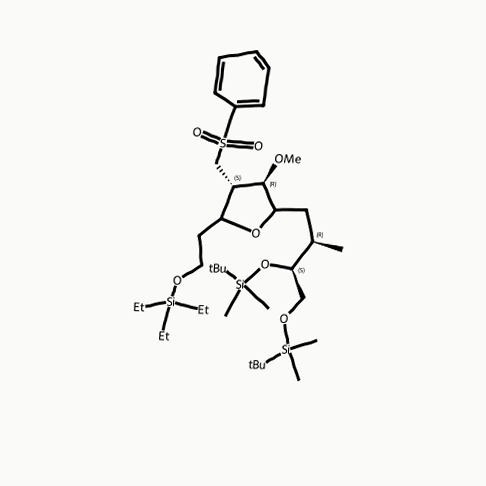 CC[Si](CC)(CC)OCCC1OC(C[C@@H](C)[C@@H](CO[Si](C)(C)C(C)(C)C)O[Si](C)(C)C(C)(C)C)[C@H](OC)[C@H]1CS(=O)(=O)c1ccccc1